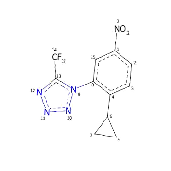 O=[N+]([O-])c1ccc(C2CC2)c(-n2nnnc2C(F)(F)F)c1